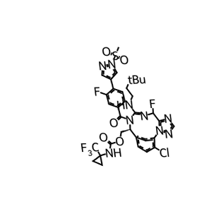 CC(C)(C)CCN/C1=N\C(F)c2ncnn2-c2cc(ccc2Cl)[C@@H](COC(=O)NC2(C(F)(F)F)CC2)N1C(=O)c1ccc(-c2cnn(S(C)(=O)=O)c2)c(F)c1